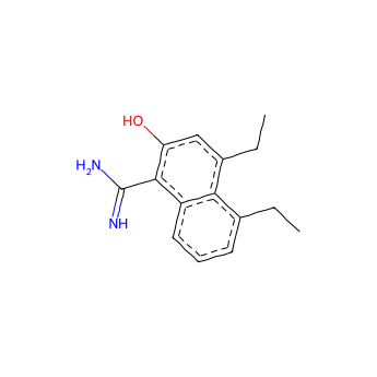 CCc1cccc2c(C(=N)N)c(O)cc(CC)c12